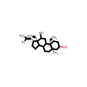 C=C[C@]12C(N=O)CC3C(CC[C@]4(C)C[C@H](O)CC[C@]34C=C)C1CC[C@@H]2/C=C(/C)CC